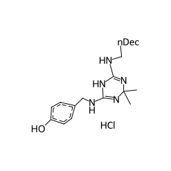 CCCCCCCCCCCNC1=NC(C)(C)N=C(NCc2ccc(O)cc2)N1.Cl